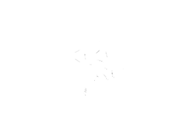 COc1cccc([C@H]2O[C@H](CCC#N)c3nnc(CC(C)(C)C)n3-c3ccc(Cl)cc32)c1OC